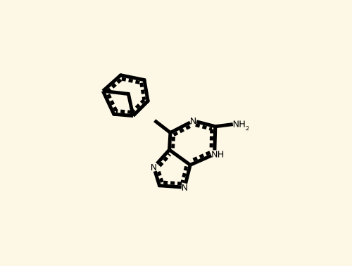 Cc1nc(N)[nH]c2ncnc1-2.c1cc2cc(c1)C2